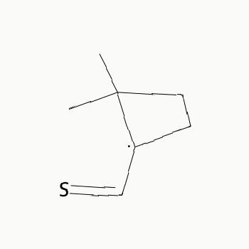 CC1(C)CC[C]1C=S